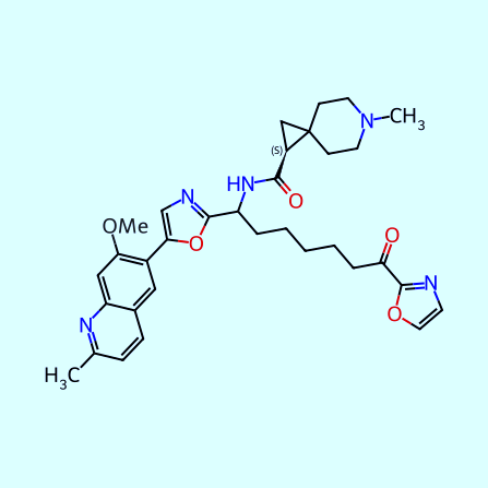 COc1cc2nc(C)ccc2cc1-c1cnc(C(CCCCCC(=O)c2ncco2)NC(=O)[C@H]2CC23CCN(C)CC3)o1